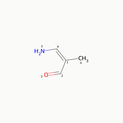 CC(C=O)=CN